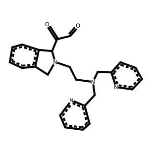 O=CC(=O)C1c2ccccc2CN1CCN(Cc1ccccn1)Cc1ccccn1